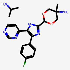 CC(C)N.CC1(N)COC(c2nc(-c3ccc(F)cc3)c(-c3ccncn3)[nH]2)OC1